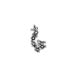 C=CC(=O)N[C@H]1CCCN(S(=O)(=O)c2ccc(CN3CCC4(CC3)CN(c3ncncc3Oc3ccc(F)cc3C(=O)N(C(C)C)C(C)C)C4)cc2)C1